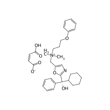 C[N+](C)(CCCOc1ccccc1)Cc1cnc([C@](O)(c2ccccc2)C2CCCCC2)o1.O=C([O-])/C=C\C(=O)O